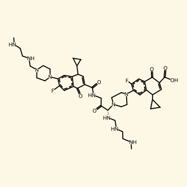 CNCCNCN[C@H](C(=O)CNC(=O)C1=CC(C2CC2)c2cc(N3CCN(CNCCNC)CC3)c(F)cc2C1=O)N1CCN(c2cc3c(cc2F)C(=O)C(C(=O)O)=CC3C2CC2)CC1